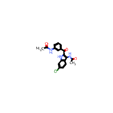 CC(=O)Nc1cccc(C(=O)c2[nH]c3cc(Cl)ccc3c2NC(C)=O)c1